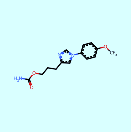 NC(=O)OCCCc1cn(-c2ccc(OC(F)(F)F)cc2)cn1